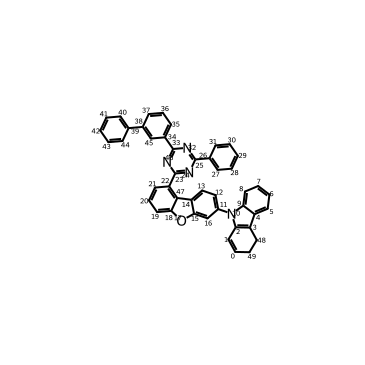 C1=Cc2c(c3ccccc3n2-c2ccc3c(c2)oc2cccc(-c4nc(-c5ccccc5)nc(-c5cccc(-c6ccccc6)c5)n4)c23)CC1